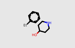 CCc1ccccc1.OC1CCNCC1